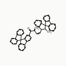 C=C(/C=C\C1c2ccccc2C2(c3ccccc3-c3ccccc32)C1C)C(=O)c1ccc2c(c1)C1(c3ccccc3-c3ccccc31)c1ccccc1-2